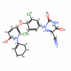 N#Cc1nn(-c2cc(Cl)c(Oc3ccc(=O)n(C4=CCCCC4)c3)c(Cl)c2)c(=O)[nH]c1=O